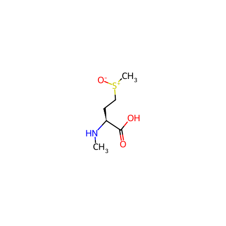 CN[C@@H](CC[S+](C)[O-])C(=O)O